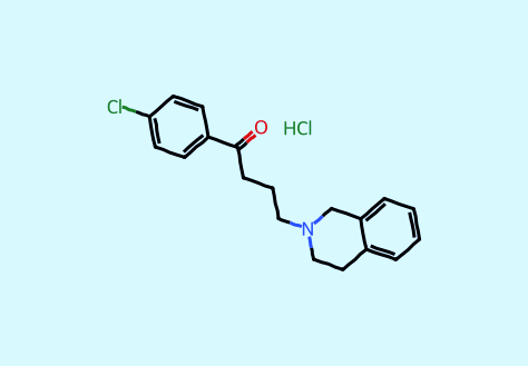 Cl.O=C(CCCN1CCc2ccccc2C1)c1ccc(Cl)cc1